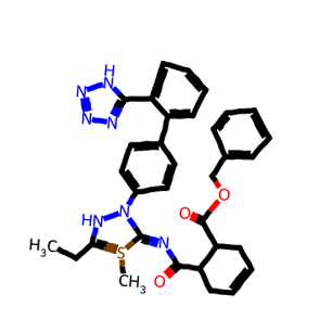 CCC1=S(C)C(=NC(=O)C2CC=CCC2C(=O)OCc2ccccc2)N(c2ccc(-c3ccccc3-c3nnn[nH]3)cc2)N1